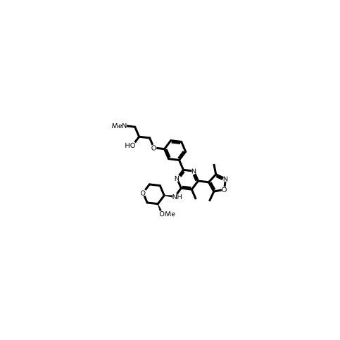 CNCC(O)COc1cccc(-c2nc(N[C@@H]3CCOC[C@@H]3OC)c(C)c(-c3c(C)noc3C)n2)c1